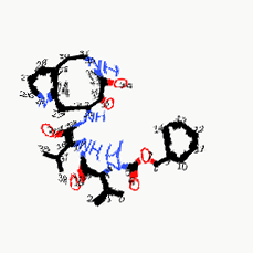 CC(C)C(NC(=O)OCc1ccccc1)C(=O)NC(C(=O)NC1Cc2ncccc2CCNC(=O)C1=O)C(C)C